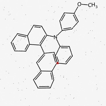 COc1ccc(N(c2ccccc2)c2ccc3ccccc3c2-c2ccc3ccccc3c2)cc1